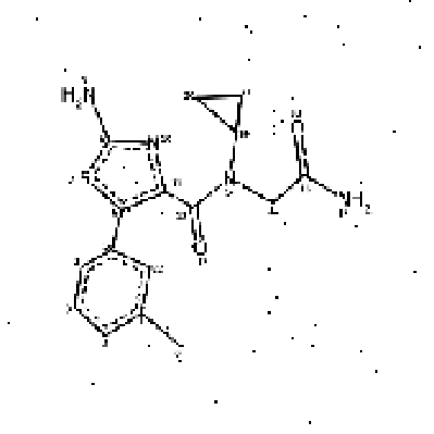 Cc1cccc(-c2sc(N)nc2C(=O)N(CC(N)=O)C2CC2)c1